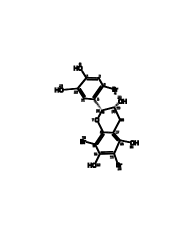 Oc1cc(Br)c([C@H]2Oc3c(Br)c(O)c(Br)c(O)c3C[C@H]2O)cc1O